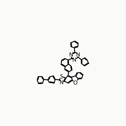 c1ccc(-c2ccc(-c3nc4cc5oc6ccccc6c5c(-c5ccc6c(-c7nc(-c8ccccc8)nc(-c8ccccc8)n7)cccc6c5)c4s3)cc2)cc1